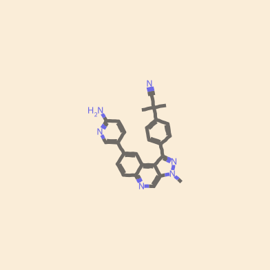 Cn1nc(-c2ccc(C(C)(C)C#N)cc2)c2c3cc(-c4ccc(N)nc4)ccc3ncc21